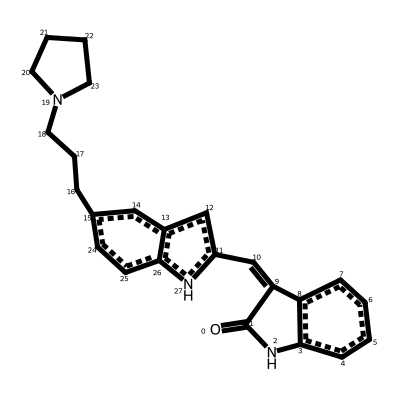 O=C1Nc2ccccc2C1=Cc1cc2cc(CCCN3CCCC3)ccc2[nH]1